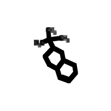 CC(C)(C)C1CCC2C=[C]CCC2C1